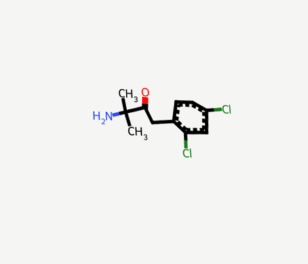 CC(C)(N)C(=O)Cc1ccc(Cl)cc1Cl